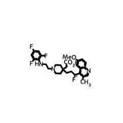 COc1ccc2ncc(C)c([C@@H](F)CCC3(CC(=O)O)CCN(CCNc4c(F)cc(F)cc4F)CC3)c2c1